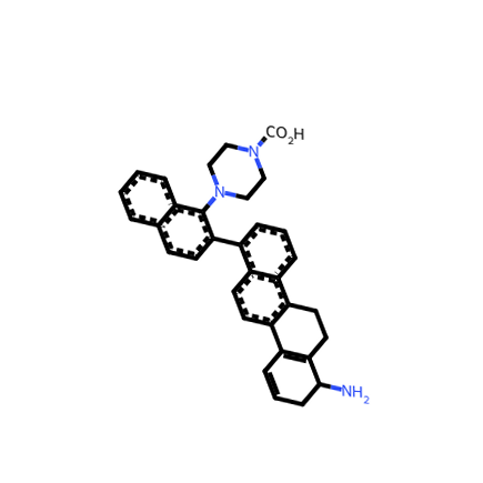 NC1CC=CC2=C1CCc1c2ccc2c(-c3ccc4ccccc4c3N3CCN(C(=O)O)CC3)cccc12